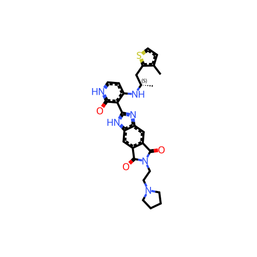 Cc1ccsc1C[C@H](C)Nc1cc[nH]c(=O)c1-c1nc2cc3c(cc2[nH]1)C(=O)N(CCN1CCCC1)C3=O